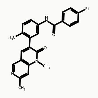 CCc1ccc(C(=O)Nc2ccc(C)c(-c3cc4cnc(C)cc4n(C)c3=O)c2)cc1